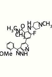 COc1ccccc1-c1n[nH]c2ncc(-c3cc(F)c(NC4CCN(C)CC4)c(C(=O)N(C)C)c3)cc12